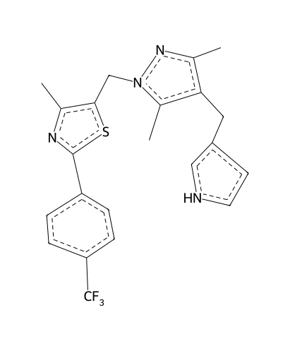 Cc1nc(-c2ccc(C(F)(F)F)cc2)sc1Cn1nc(C)c(Cc2cc[nH]c2)c1C